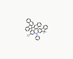 CC1(C)c2ccccc2-c2ccc(N(c3ccccc3)c3cc(Cl)cc4c3-c3cc5ccccc5cc3C43c4ccccc4-c4c3ccc3ccccc43)cc21